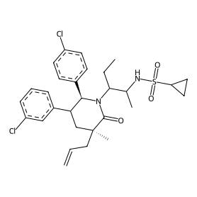 C=CC[C@@]1(C)CC(c2cccc(Cl)c2)[C@@H](c2ccc(Cl)cc2)N(C(CC)C(C)NS(=O)(=O)C2CC2)C1=O